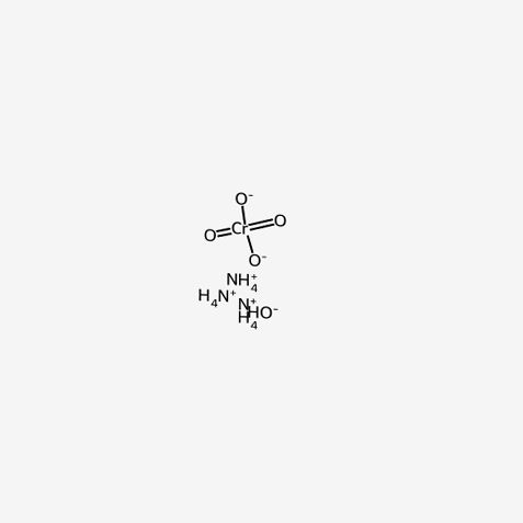 [NH4+].[NH4+].[NH4+].[OH-].[O]=[Cr](=[O])([O-])[O-]